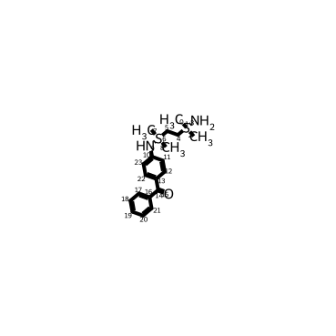 CS(C)(N)CCS(C)(C)Nc1ccc(C(=O)c2ccccc2)cc1